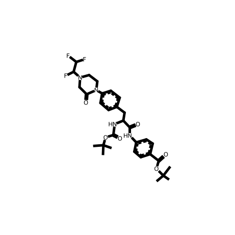 CC(C)(C)OC(=O)NC(Cc1ccc(N2CCN(C(F)C(F)F)CC2=O)cc1)C(=O)Nc1ccc(C(=O)OC(C)(C)C)cc1